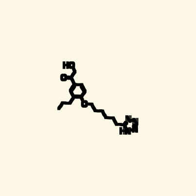 CCCc1cc(C(=O)CO)ccc1OCCCCCCc1nnn[nH]1